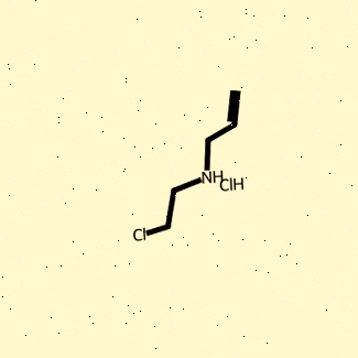 C=CCNCCCl.Cl